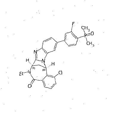 CCN1C(=O)c2cccc(Cl)c2[C@H]2C[C@@H]1c1nc3ccc(-c4ccc(P(C)(C)=O)c(F)c4)cc3n12